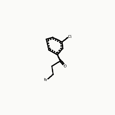 O=C(CCBr)c1cccc(Cl)c1